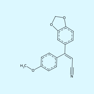 COc1ccc(/C(=C\C#N)c2ccc3c(c2)OCO3)cc1